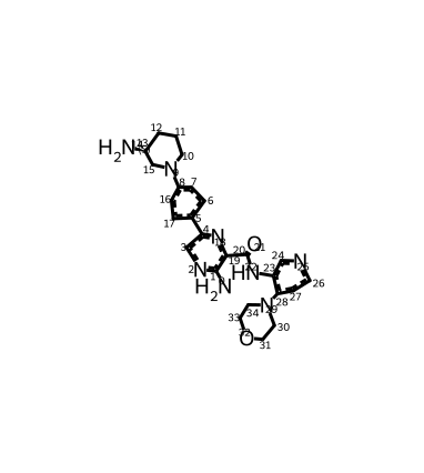 Nc1ncc(-c2ccc(N3CCC[C@H](N)C3)cc2)nc1C(=O)Nc1cnccc1N1CCOCC1